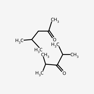 CC(=O)CC(C)C.CC(C)C(=O)C(C)C